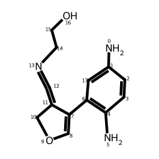 Nc1ccc(N)c(C2=COCC2=C=NCCO)c1